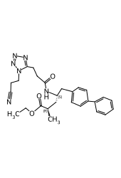 CCOC(=O)[C@H](C)C[C@@H](Cc1ccc(-c2ccccc2)cc1)NC(=O)CCc1nnnn1CCC#N